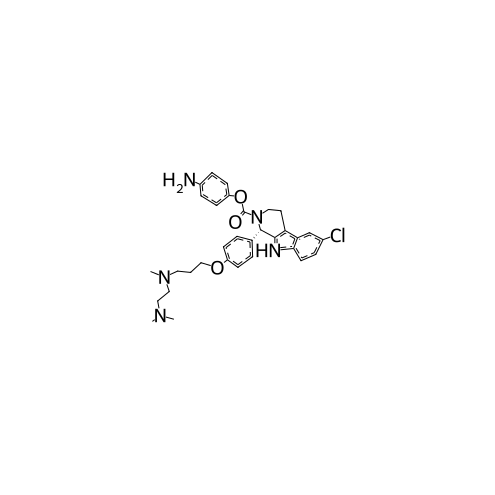 CN(C)CCN(C)CCCOc1ccc([C@H]2c3[nH]c4ccc(Cl)cc4c3CCN2C(=O)Oc2ccc(N)cc2)cc1